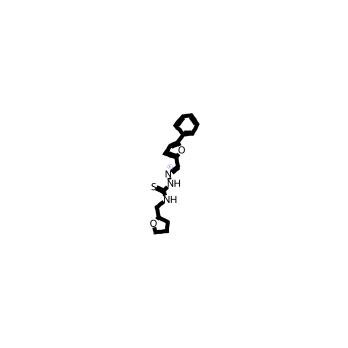 S=C(NCC1CCCO1)N/N=C/c1ccc(-c2ccccc2)o1